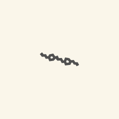 C=CCCC1CCC(/C=C/CCC2CCC(CCC=C)CC2)CC1